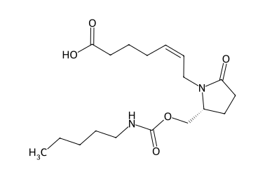 CCCCCNC(=O)OC[C@H]1CCC(=O)N1C/C=C\CCCC(=O)O